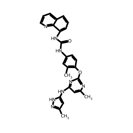 Cc1cc(Nc2cc(C)nc(Oc3ccc(NC(=O)Nc4cccc5cccnc45)cc3C)n2)[nH]n1